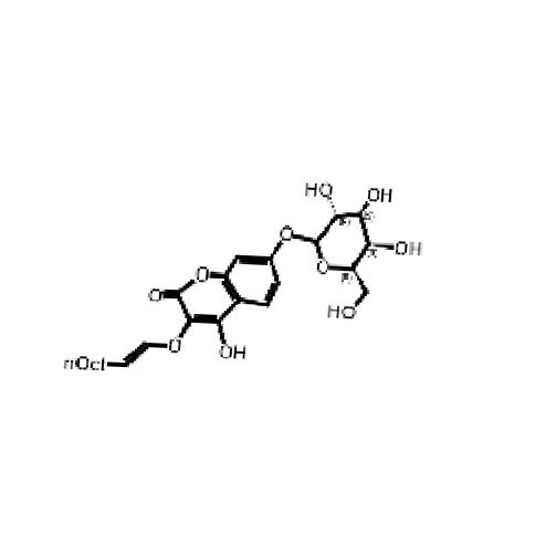 CCCCCCCCC=COc1c(O)c2ccc(OC3O[C@H](CO)[C@H](O)[C@H](O)[C@H]3O)cc2oc1=O